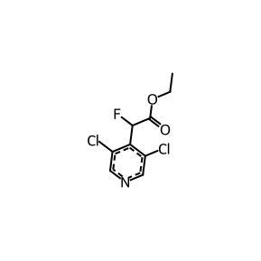 CCOC(=O)C(F)c1c(Cl)cncc1Cl